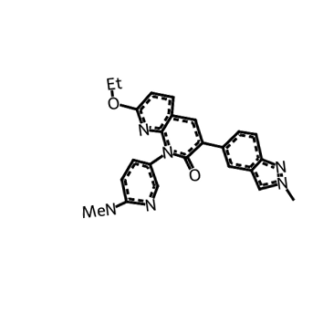 CCOc1ccc2cc(-c3ccc4nn(C)cc4c3)c(=O)n(-c3ccc(NC)nc3)c2n1